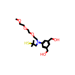 COCCOCCOCCN(CC(C)(C)S)c1cc(CO)cc(CO)c1